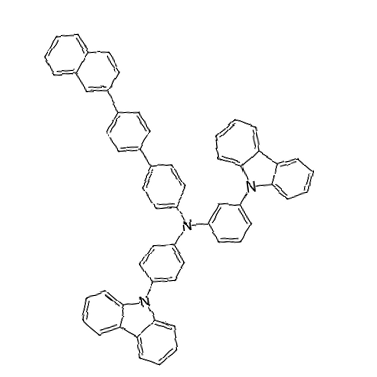 c1cc(N(c2ccc(-c3ccc(-c4ccc5ccccc5c4)cc3)cc2)c2ccc(-n3c4ccccc4c4ccccc43)cc2)cc(-n2c3ccccc3c3ccccc32)c1